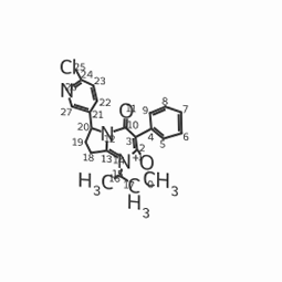 COc1c(-c2ccccc2)c(=O)n2c([n+]1C(C)C)CCC2c1ccc(Cl)nc1